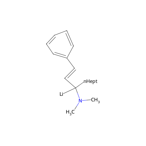 [Li][C](C=Cc1ccccc1)(CCCCCCC)N(C)C